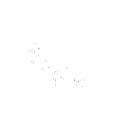 CC(C)(C)OC(=O)N(Cc1ccc(NC(=O)OCc2ccccc2)cn1)[C@H]1CCC[C@@H](Nc2ncc(Cl)c(-c3cn(S(=O)(=O)c4ccccc4)c4ccccc34)n2)C1